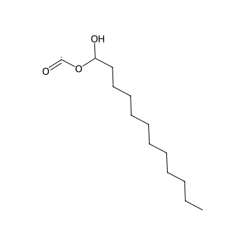 CCCCCCCCCCCC(O)O[C]=O